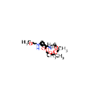 C=NC/C(C(=O)OCC(C)OCC(C)OCC(C)OCC)=C1/C=C(NCCCOC)CCC1